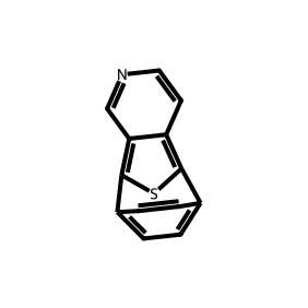 c1cc2c3sc(c2cn1)-c1ccc-3cc1